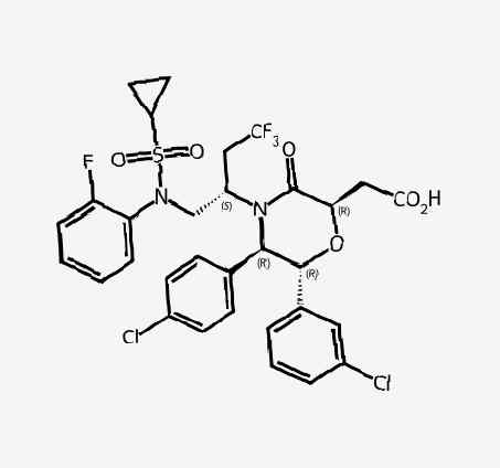 O=C(O)C[C@H]1O[C@H](c2cccc(Cl)c2)[C@@H](c2ccc(Cl)cc2)N([C@H](CN(c2ccccc2F)S(=O)(=O)C2CC2)CC(F)(F)F)C1=O